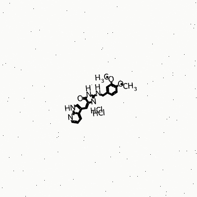 COc1ccc(CNC2=NC(=Cc3c[nH]c4ncccc34)C(=O)N2)cc1OC.Cl.Cl